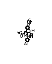 CCOC(=O)c1cc(-c2ccc(N3CCOCC3)cc2)c(C(=N)C2CCC2)c(Nc2ccc(N(C)C)cc2)n1